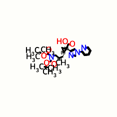 C[C@@H](C[C@@H]1C[C@@]1(C(=O)O)c1cn(-c2ccccn2)cn1)CN(C(=O)OC(C)(C)C)C(=O)OC(C)(C)C